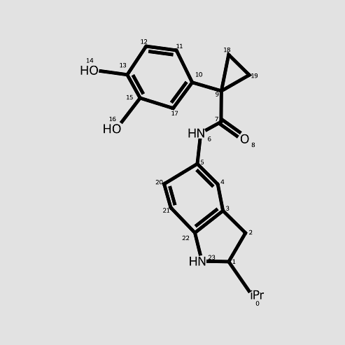 CC(C)C1Cc2cc(NC(=O)C3(c4ccc(O)c(O)c4)CC3)ccc2N1